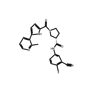 Cc1ncccc1-c1ccc(C(=O)N2CC[C@H](C(=O)Nc3ccc(F)c(C#N)c3)C2)[nH]1